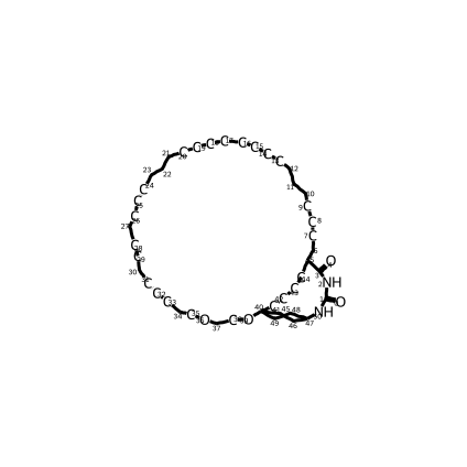 O=C1NC(=O)C2CCCCCCCCCCCCCCCCCCCCCCCCCCCCCCOCCOC3(CCCC2)CCC(CC3)N1